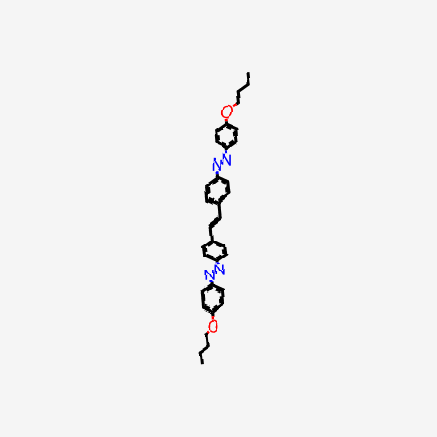 CCCCOc1ccc(/N=N/c2ccc(/C=C/c3ccc(/N=N/c4ccc(OCCCC)cc4)cc3)cc2)cc1